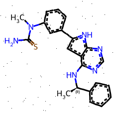 C[C@@H](Nc1ncnc2[nH]c(-c3cccc(N(C)C(N)=S)c3)cc12)c1ccccc1